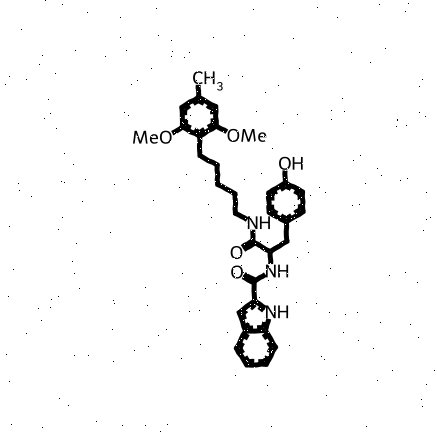 COc1cc(C)cc(OC)c1CCCCCNC(=O)C(Cc1ccc(O)cc1)NC(=O)c1cc2ccccc2[nH]1